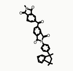 CN1C(=O)c2ccc(C(=O)c3ccc4c(c3)C(=O)N(c3ccc(C5(C)CC(C)(C)c6ccccc65)cc3)C4=O)cc2C1=O